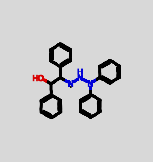 OC(c1ccccc1)C([N]NN(c1ccccc1)c1ccccc1)c1ccccc1